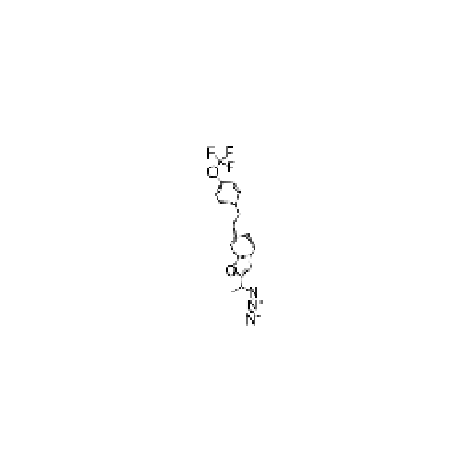 CC(N=[N+]=[N-])c1cc2ccc(CCc3ccc(OC(F)(F)F)cc3)cc2o1